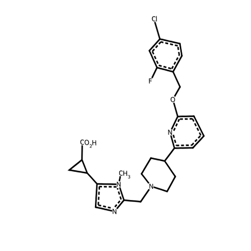 Cn1c(C2CC2C(=O)O)cnc1CN1CCC(c2cccc(OCc3ccc(Cl)cc3F)n2)CC1